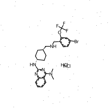 CN(C)c1nc(N[C@H]2CC[C@H](CNCc3ccc(Br)cc3OC(F)(F)F)CC2)nc2ccccc12.Cl.Cl